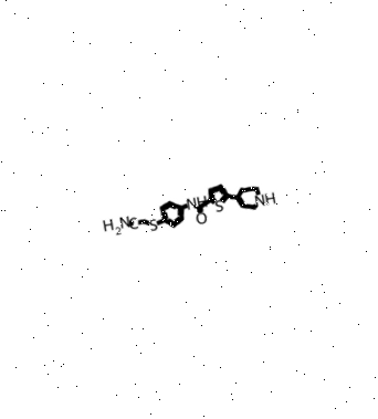 NCCSc1ccc(NC(=O)c2ccc(C3=CCNCC3)s2)cc1